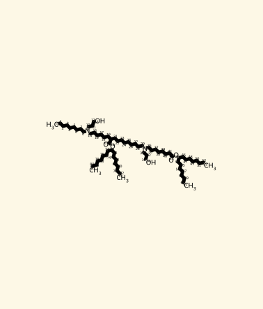 CCCCCCCCCN(CCCO)CCCCCCC(CCCCCCCCCN(CCCO)CCCCCCCC(=O)OC(CCCCCCCC)CCCCCCCC)C(=O)OC(CCCCCCCC)CCCCCCCC